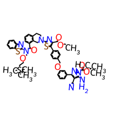 CCOC(=O)c1nc(N2CCc3cccc(C(=O)N(COCC[Si](C)(C)C)c4nc5ccccc5s4)c3C2)sc1-c1ccc(COc2cccc(-c3nn(C(=O)OC(C)(C)C)c(N)c3C#N)c2)cc1